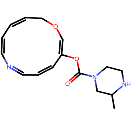 CC1CN(C(=O)OC2=COCC=CC=CN=CC=C2)CCN1